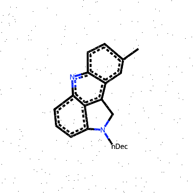 CCCCCCCCCCN1Cc2c3cc(C)ccc3nc3cccc1c23